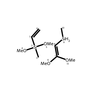 C=C[Si](C)(OC)OC.COC(=C[SiH2]C)OC